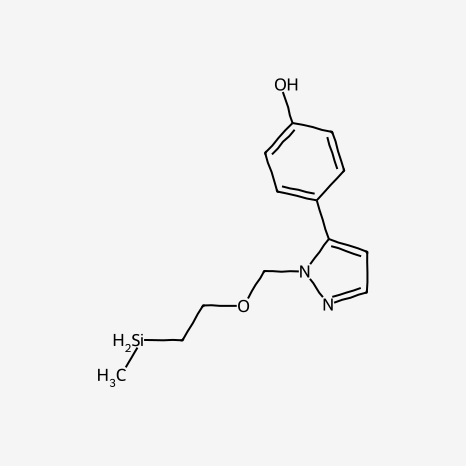 C[SiH2]CCOCn1nccc1-c1ccc(O)cc1